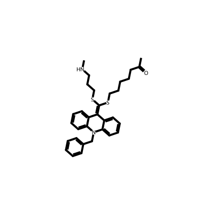 CNCCCSC(SCCCCCC(C)=O)=C1c2ccccc2N(Cc2ccccc2)c2ccccc21